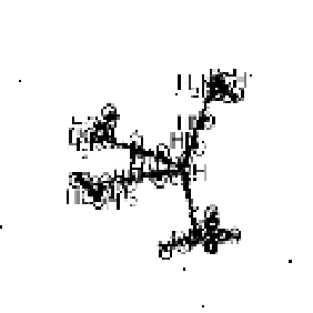 COc1ccc(C(OC[C@@H]2C[C@@H](OC(=O)CCC(C)=O)CN2C(=O)CCCCCCCCCCC(=O)NC(COCCC(=O)NCCCNC(=O)CCCCOC2OC(COC(C)=O)C(O)C(O)C2N)(COCCC(=O)NCCCNC(=O)CCCCOC2OC(COC(C)=O)C(O)C(O)C2N)COCCC(=O)NCCCNC(=O)CCCCOC2OC(COC(C)=O)C(O)C(O)C2N)(c2ccccc2)c2ccc(OC)cc2)cc1